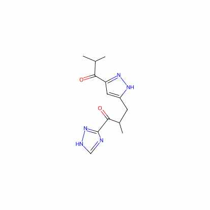 CC(C)C(=O)c1cc(CC(C)C(=O)c2nc[nH]n2)[nH]n1